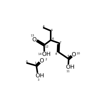 CC(=O)O.CCC(C=CC(=O)O)C(=O)O